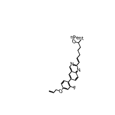 C=CCOc1ccc(-c2ccc3nc(/C=C/CCCC(C)OCCCCC)ncc3c2)c(F)c1